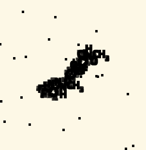 CC(=O)Nc1cc(F)c(S(=O)(=O)N2CCN(C[C@H](C)Nc3ncnc4c(C(F)(F)F)cccc34)CC2)cc1Cl